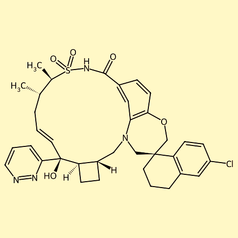 C[C@@H]1[C@@H](C)C/C=C/[C@@](O)(c2cccnn2)[C@@H]2CC[C@H]2CN2C[C@@]3(CCCc4cc(Cl)ccc43)COc3ccc(cc32)C(=O)NS1(=O)=O